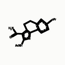 CCCc1ccc2c(c1)CCc1c-2sc(NC(C)=O)c1C(N)=O